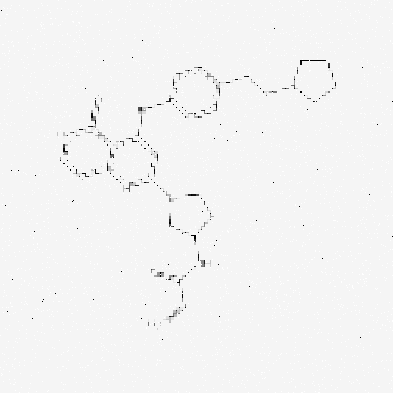 C=CC(=O)NC1CCN(c2cc(Nc3ccc(CCN4CCCC4)cc3)c3c(=O)[nH]ccc3n2)C1